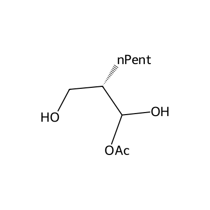 CCCCC[C@@H](CO)C(O)OC(C)=O